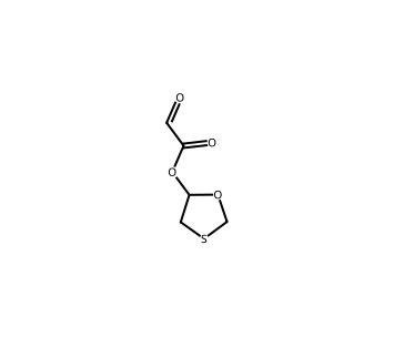 O=CC(=O)OC1CSCO1